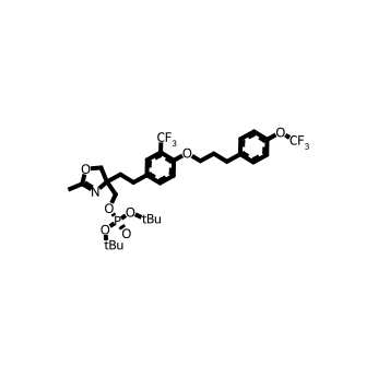 CC1=NC(CCc2ccc(OCCCc3ccc(OC(F)(F)F)cc3)c(C(F)(F)F)c2)(COP(=O)(OC(C)(C)C)OC(C)(C)C)CO1